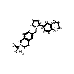 CC(=O)N1CCc2cc(CN3CCCC3c3ccc4c(c3)OCCO4)ccc2C1